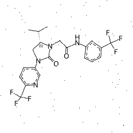 CC(C)[C@H]1CN(c2ccc(C(F)(F)F)nc2)C(=O)N1CC(=O)Nc1cccc(C(F)(F)F)c1